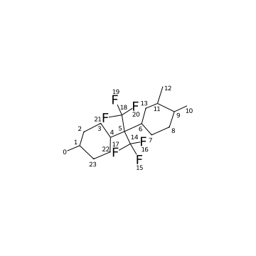 CC1CCC(C(C2CCC(C)C(C)C2)(C(F)(F)F)C(F)(F)F)CC1